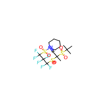 CC(C)(C)S(=O)(=O)C(C)(C#N)S(=O)(=O)C(F)(F)C(F)(F)C(F)(F)S(=O)(=O)N1CCCCC1